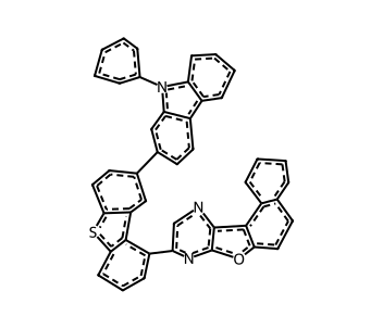 c1ccc(-n2c3ccccc3c3ccc(-c4ccc5sc6cccc(-c7cnc8c(n7)oc7ccc9ccccc9c78)c6c5c4)cc32)cc1